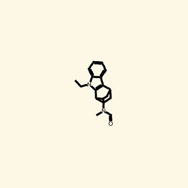 CCn1c2c(c3ccccc31)C1CCC2C(N(C)C=O)C1